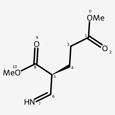 COC(=O)CC[C@@H](C=N)C(=O)OC